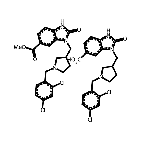 COC(=O)c1ccc2[nH]c(=O)n(CC3CCN(Cc4ccc(Cl)cc4Cl)C3)c2c1.O=C(O)c1ccc2[nH]c(=O)n(CC3CCN(Cc4ccc(Cl)cc4Cl)C3)c2c1